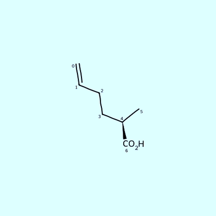 C=CCC[C@@H](C)C(=O)O